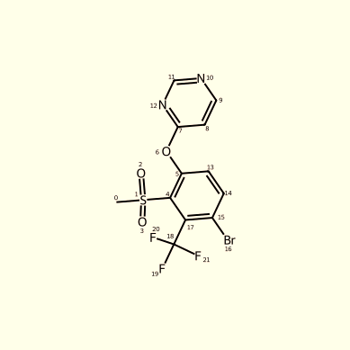 CS(=O)(=O)c1c(Oc2ccncn2)ccc(Br)c1C(F)(F)F